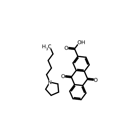 CCCCCN1CCCC1.O=C(O)c1ccc2c(c1)C(=O)c1ccccc1C2=O